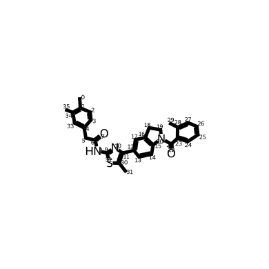 Cc1ccc(CC(=O)Nc2nc(-c3ccc4c(c3)CCN4C(=O)c3ccccc3C)c(C)s2)cc1C